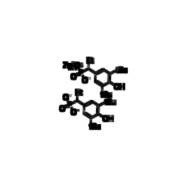 CCC(c1cc(C(C)(C)C)c(O)c(C(C)(C)C)c1)P(=O)([O-])[O-].CCC(c1cc(C(C)(C)C)c(O)c(C(C)(C)C)c1)P(=O)([O-])[O-].[Zn+2].[Zn+2]